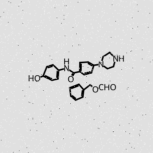 O=C(Nc1ccc(O)cc1)c1ccc(N2CCNCC2)cc1.O=COCc1ccccc1